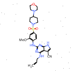 C=CCNc1nc(Nc2ccc(S(=O)(=O)N3CCC(N4CCOCC4)CC3)cc2OC)nc2[nH]cc(C#N)c12